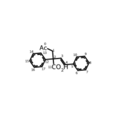 CC(=O)CC(C=Cc1ccccc1)(C(=O)O)c1ccccc1